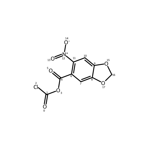 O=C(Cl)OC(=O)c1cc2c(cc1[N+](=O)[O-])OCO2